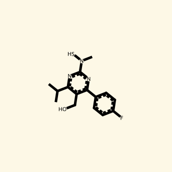 CC(C)c1nc(N(C)S)nc(-c2ccc(F)cc2)c1CO